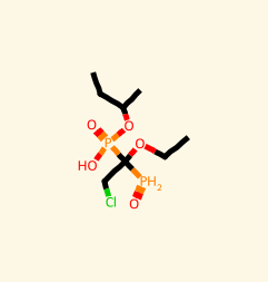 CCOC(CCl)([PH2]=O)P(=O)(O)OC(C)CC